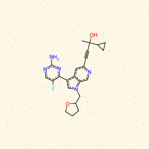 CC(O)(C#Cc1cc2c(-c3nc(N)ncc3F)cn(CC3CCCO3)c2cn1)C1CC1